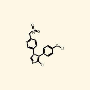 CCOc1ccc(-c2c(Cl)ncn2-c2ccc(C[SH](=O)=O)nc2)cc1